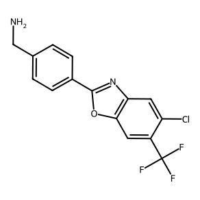 NCc1ccc(-c2nc3cc(Cl)c(C(F)(F)F)cc3o2)cc1